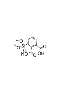 CO[Si](OC)(OC)c1cccc(C(=O)O)c1C(=O)O